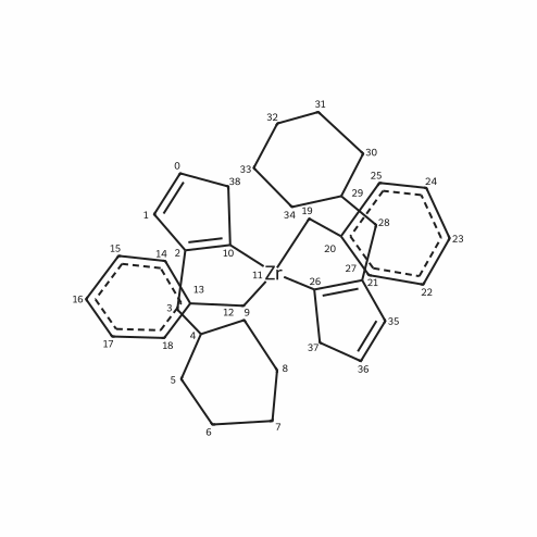 C1=CC(CC2CCCCC2)=[C]([Zr]([CH2]c2ccccc2)([CH2]c2ccccc2)[C]2=C(CC3CCCCC3)C=CC2)C1